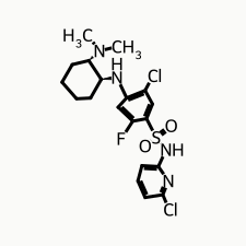 CN(C)[C@H]1CCCC[C@@H]1Nc1cc(F)c(S(=O)(=O)Nc2cccc(Cl)n2)cc1Cl